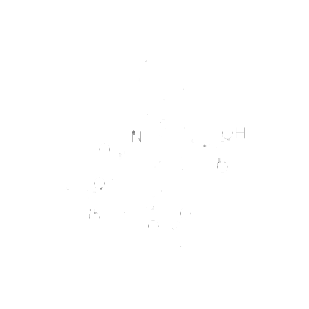 CC(=O)Oc1ccc(C(=O)N(Cc2ccccc2)c2ccc(C(=O)O)cc2)c(OC(C)=O)c1